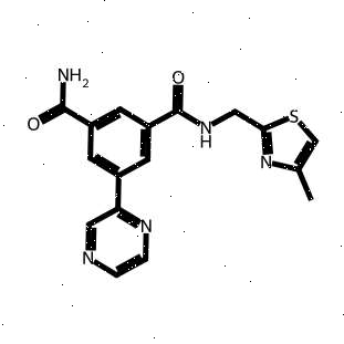 Cc1csc(CNC(=O)c2cc(C(N)=O)cc(-c3cnccn3)c2)n1